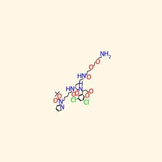 COC(=O)CC(NC(=O)[C@H](CCCCNC(=O)CCOCCOCCN)NC(=O)CCCCN(C(=O)OC(C)(C)C)c1ccccn1)c1cc(Cl)cc(Cl)c1